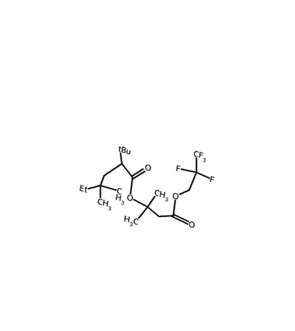 CCC(C)(C)CC(C(=O)OC(C)(C)CC(=O)OCC(F)(F)C(F)(F)F)C(C)(C)C